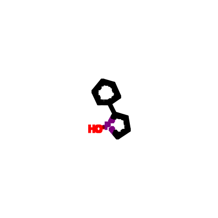 Op1cccc1-c1ccccc1